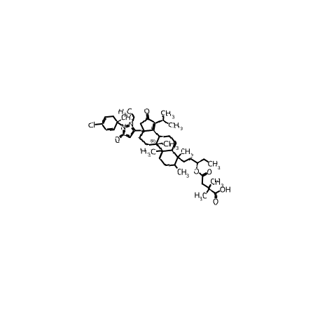 CCC(CCC1(C)C(C)CCC2(C)C1CCC1C3=C(C(C)C)C(=O)CC3(c3cc(=O)n(C4(C)C=CC(Cl)=CC4)n3CC)CC[C@]12C)OC(=O)CC(C)(C)C(=O)O